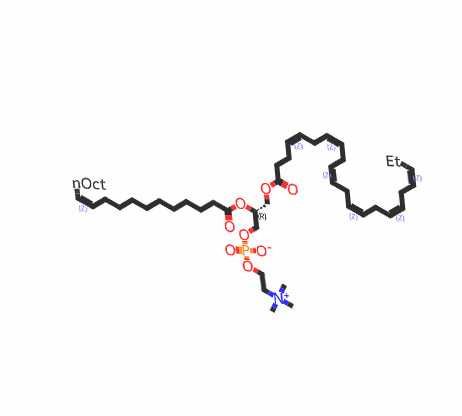 CC/C=C\C/C=C\C/C=C\C/C=C\C/C=C\C/C=C\CCC(=O)OC[C@H](COP(=O)([O-])OCC[N+](C)(C)C)OC(=O)CCCCCCCCC/C=C\CCCCCCCC